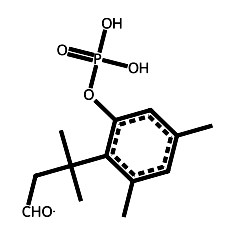 Cc1cc(C)c(C(C)(C)C[C]=O)c(OP(=O)(O)O)c1